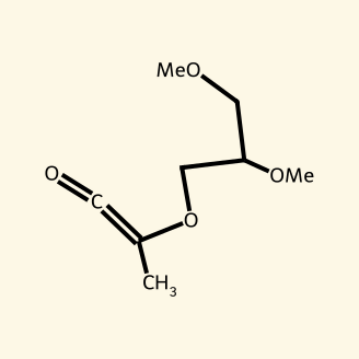 COCC(COC(C)=C=O)OC